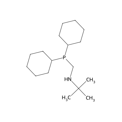 CC(C)(C)NCP(C1CCCCC1)C1CCCCC1